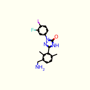 Cc1ccc(CN)c(C)c1-c1nn(-c2ccc(I)c(F)c2)c(=O)[nH]1